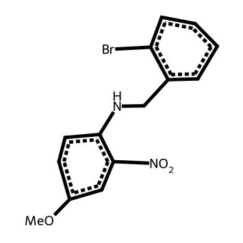 COc1ccc(NCc2ccccc2Br)c([N+](=O)[O-])c1